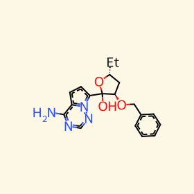 CC[C@@H]1C[C@@H](OCc2ccccc2)C(O)(c2ccc3c(N)ncnn23)O1